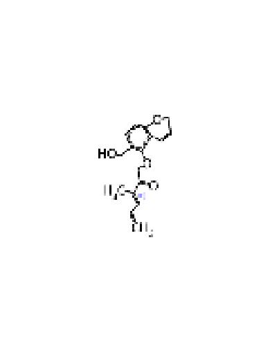 C=C/C=C(\C)C(=O)COc1c(CO)ccc2c1C=CCO2